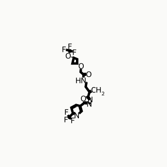 C=C(CCNC(=O)CO[C@H]1C[C@@H](OC(F)(F)F)C1)c1nnc(-c2ccc(C(F)(F)F)nc2)o1